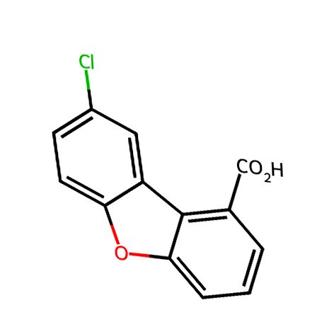 O=C(O)c1cccc2oc3ccc(Cl)cc3c12